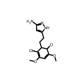 COC1=CC(OC)=C(Cl)C(CCc2cc(N)n[nH]2)C1Cl